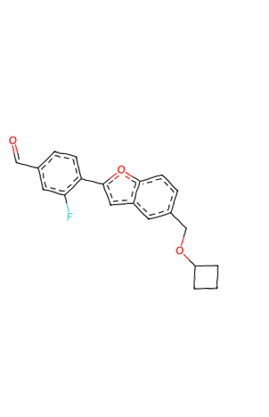 O=Cc1ccc(-c2cc3cc(COC4CCC4)ccc3o2)c(F)c1